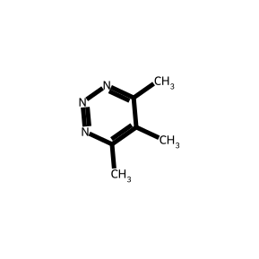 Cc1nnnc(C)c1C